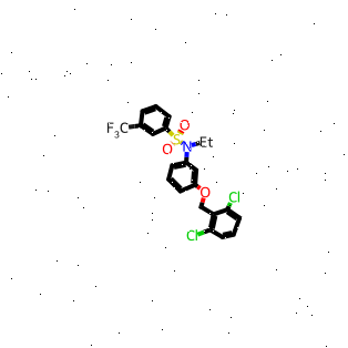 CCN(c1cccc(OCc2c(Cl)cccc2Cl)c1)S(=O)(=O)c1cccc(C(F)(F)F)c1